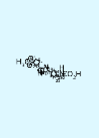 CS(=O)(=O)c1cccc(-c2cnn3cc(-c4ccc(C5(NC(=O)O)CC5)cc4)cnc23)c1